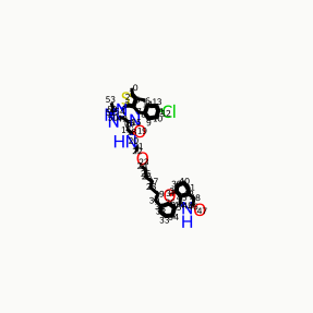 Cc1sc2c(c1C)C(c1ccc(Cl)cc1)=N[C@@H](CC(=O)NCCOCCCCCCCc1ccccc1Oc1cccc3c1CNC(=O)C3)c1nnc(C)n1-2